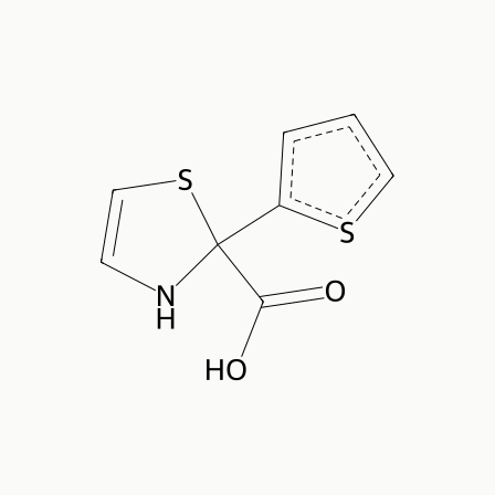 O=C(O)C1(c2cccs2)NC=CS1